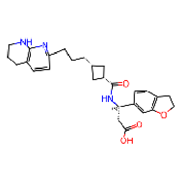 O=C(O)C[C@H](NC(=O)[C@H]1C[C@@H](CCCc2ccc3c(n2)NCCC3)C1)c1ccc2c(c1)OCC2